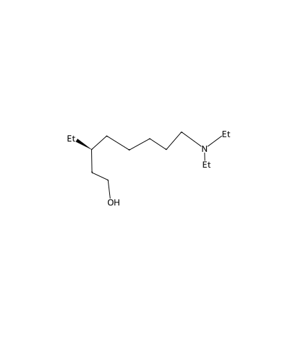 CC[C@H](CCO)CCCCCN(CC)CC